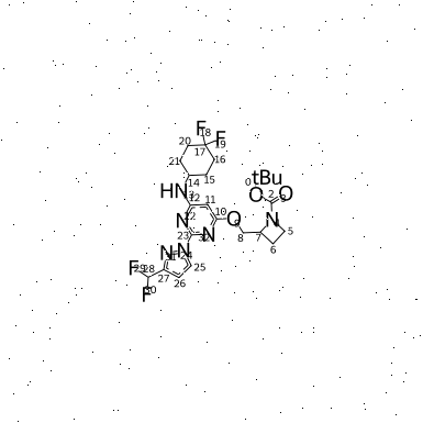 CC(C)(C)OC(=O)N1CCC1COc1cc(NC2CCC(F)(F)CC2)nc(-n2ccc(C(F)F)n2)n1